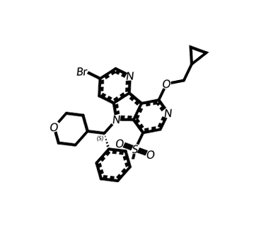 CS(=O)(=O)c1cnc(OCC2CC2)c2c3ncc(Br)cc3n([C@H](c3ccccc3)C3CCOCC3)c12